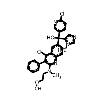 COCCN(C)c1nc2ccc(C(O)(c3ccc(Cl)nc3)c3cncn3C)cc2c(Cl)c1-c1ccccc1